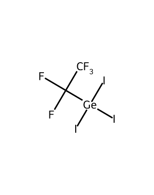 FC(F)(F)[C](F)(F)[Ge]([I])([I])[I]